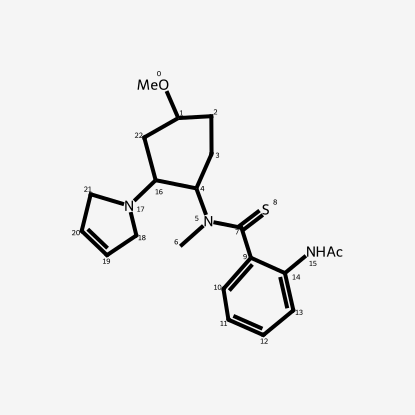 COC1CCC(N(C)C(=S)c2ccccc2NC(C)=O)C(N2CC=CC2)C1